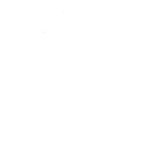 C=CC=CC=CCCCCC(=C)C(=O)CCCCCCCC